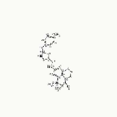 C[C@H]1C(=O)N2CCCc3nc(NCc4cnn(Cc5ccc(C(F)(F)F)nc5)c4)nc(c32)N1C